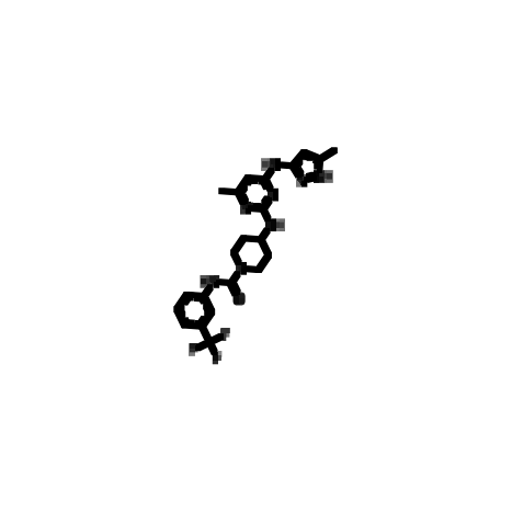 Cc1cc(Nc2cc(C)[nH]n2)nc(NC2CCN(C(=O)Nc3cccc(C(F)(F)F)c3)CC2)n1